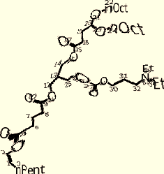 CCCCC/C=C\OC(=O)CCCC(=O)OCC(COC(=O)CCC(OCCCCCCCC)OCCCCCCCC)COC(=O)OCCCN(CC)CC